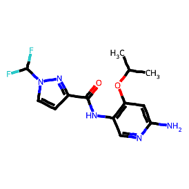 CC(C)Oc1cc(N)ncc1NC(=O)c1ccn(C(F)F)n1